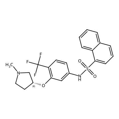 CN1CC[C@@H](Oc2cc(NS(=O)(=O)c3cccc4ccccc34)ccc2C(F)(F)F)C1